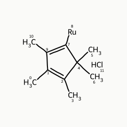 CC1=C(C)C(C)(C)[C]([Ru])=C1C.Cl